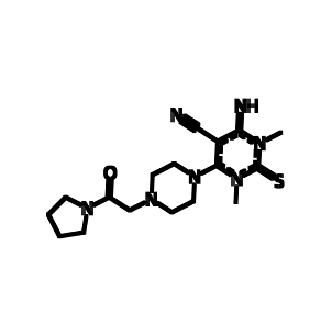 Cn1c(N2CCN(CC(=O)N3CCCC3)CC2)c(C#N)c(=N)n(C)c1=S